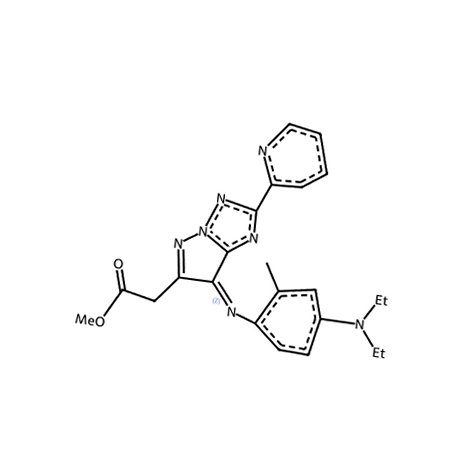 CCN(CC)c1ccc(/N=C2/C(CC(=O)OC)=Nn3nc(-c4ccccn4)nc32)c(C)c1